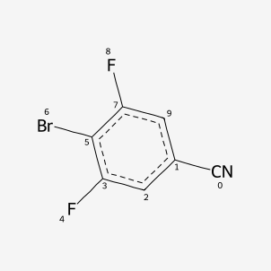 N#Cc1cc(F)c(Br)c(F)c1